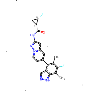 Cc1c(F)c(C)c2[nH]ncc2c1-c1ccn2nc(NC(=O)[C@@H]3C[C@@H]3F)cc2c1